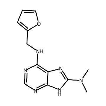 CN(C)c1nc2c(NCc3ccco3)ncnc2[nH]1